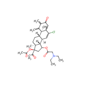 C=C1C(=C)[C@@]2(C)C(=CC1=O)C(Cl)=C[C@@H]1[C@@H]2CC[C@@]2(C)[C@H]1C(OC(=O)CN(CC)CC)C[C@]2(OC(C)=O)C(C)=O